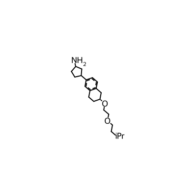 CC(C)CCOCCO[C@H]1CCc2cc(C3CCC(N)C3)ccc2C1